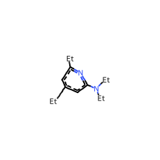 CCc1cc(CC)nc(N(CC)CC)c1